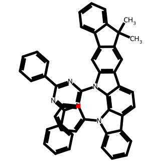 CC1(C)c2ccccc2-c2cc3c(cc21)c1ccc2c4ccccc4n(-c4ccccc4)c2c1n3-c1nc(-c2ccccc2)nc(-c2ccccc2)n1